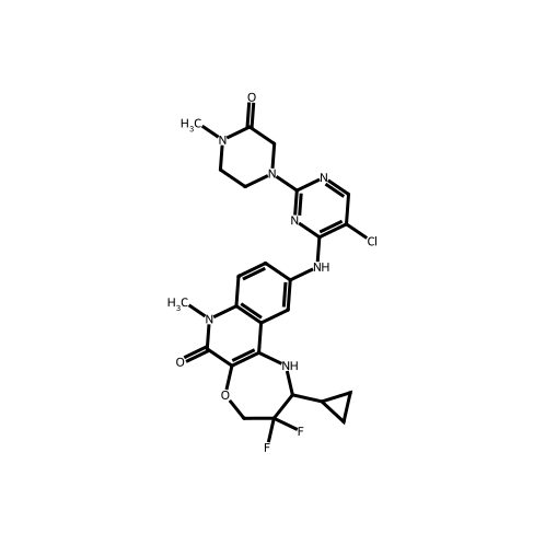 CN1CCN(c2ncc(Cl)c(Nc3ccc4c(c3)c3c(c(=O)n4C)OCC(F)(F)C(C4CC4)N3)n2)CC1=O